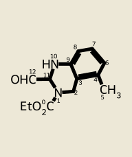 CCOC(=O)N1Cc2c(C)cccc2NC1C=O